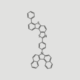 c1ccc(-c2cccc3c2sc2ccc4nc(-c5ccc(-n6c7ccc8ccccc8c7c7c8ccccc8ccc76)cc5)sc4c23)cc1